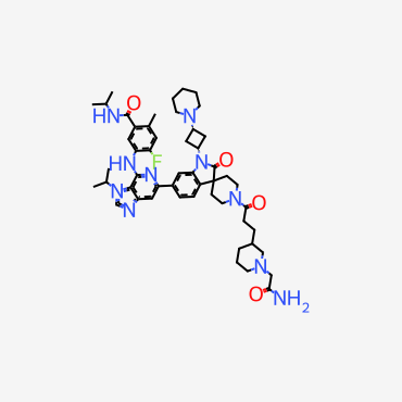 Cc1cc(F)c(Nc2nc(-c3ccc4c(c3)N([C@H]3C[C@@H](N5CCCCC5)C3)C(=O)C43CCN(C(=O)CCC4CCCN(CC(N)=O)C4)CC3)cc3ncn(C(C)C)c23)cc1C(=O)NC(C)C